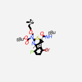 CC(C)(C)NC(=O)[C@]12C[C@H]1[C@@](C)(c1cc(Br)ccc1F)N=C(N(COCC[Si](C)(C)C)C(=O)OC(C)(C)C)S2